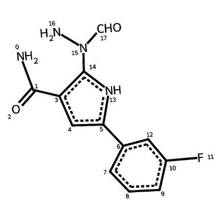 NC(=O)c1cc(-c2cccc(F)c2)[nH]c1N(N)C=O